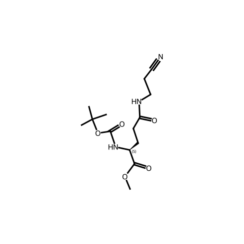 COC(=O)[C@H](CCC(=O)NCCC#N)NC(=O)OC(C)(C)C